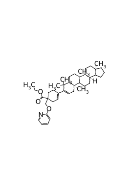 CCOC(=O)C1(COc2ccccn2)CC=C(C2=CC[C@@]3(C)C(CC[C@@]4(C)C5CC[C@@]6(C)CCCC6[C@H]5CCC43)C2(C)C)CC1